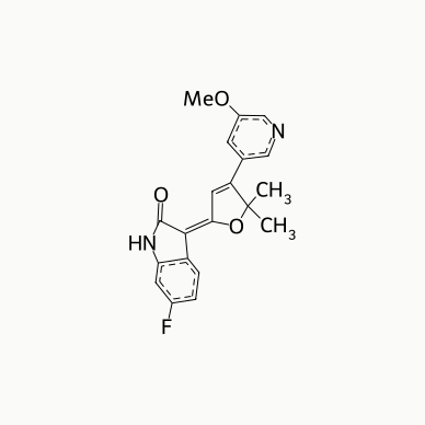 COc1cncc(C2=C/C(=C3\C(=O)Nc4cc(F)ccc43)OC2(C)C)c1